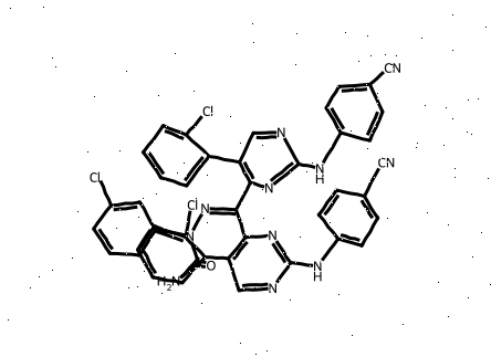 N#Cc1ccc(Nc2ncc(-c3ccccc3Cl)c(C(=NN(C(N)=O)c3cccc(Cl)c3)c3nc(Nc4ccc(C#N)cc4)ncc3-c3ccccc3Cl)n2)cc1